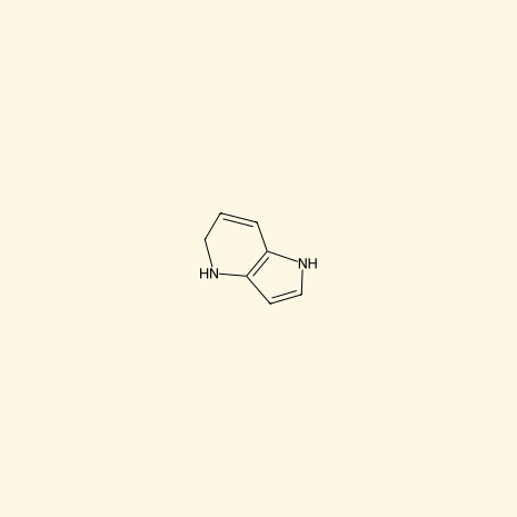 C1=Cc2[nH]ccc2NC1